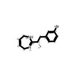 C[C@@H](Cc1cccc(Br)c1)C1=NCC=CCN1